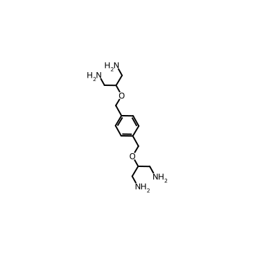 NCC(CN)OCc1ccc(COC(CN)CN)cc1